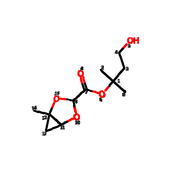 CC(C)(CCO)OC(=O)C1OC2CC2(C)O1